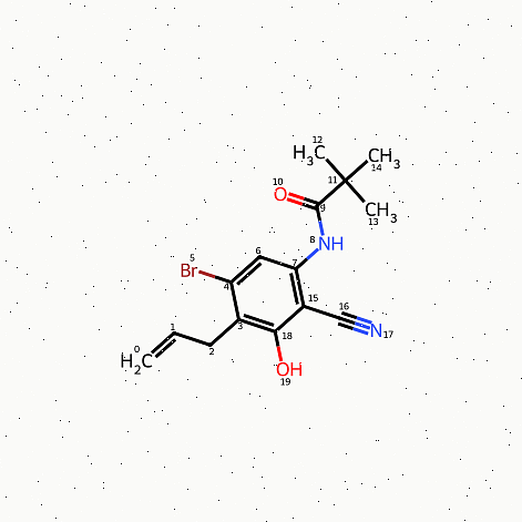 C=CCc1c(Br)cc(NC(=O)C(C)(C)C)c(C#N)c1O